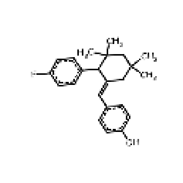 CC1(C)CC(=Cc2ccc(O)cc2)C(c2ccc(F)cc2)C(C)(C)C1